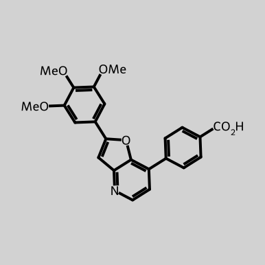 COc1cc(-c2cc3nccc(-c4ccc(C(=O)O)cc4)c3o2)cc(OC)c1OC